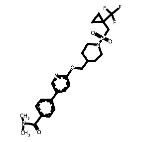 CN(C)C(=O)c1ccc(-c2ccc(OCC3CCN(S(=O)(=O)CC4(C(F)(F)F)CC4)CC3)nc2)cc1